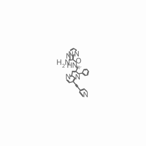 C[C@@H](NC(=O)c1c(N)nn2cccnc12)c1cc2nccc(C#Cc3ccncc3)c2nc1-c1ccccc1